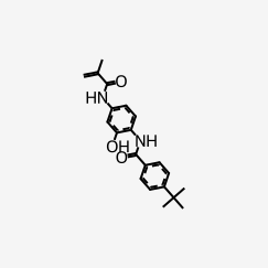 C=C(C)C(=O)Nc1ccc(NC(=O)c2ccc(C(C)(C)C)cc2)c(O)c1